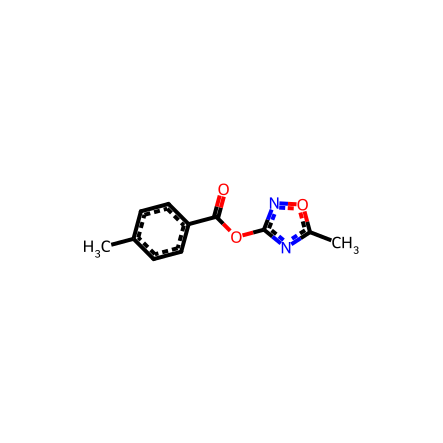 Cc1ccc(C(=O)Oc2noc(C)n2)cc1